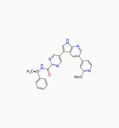 COc1cc(-c2cnc3[nH]cc(-c4cnc(C(=O)N[C@H](C)c5ccccc5)nc4)c3c2)ccn1